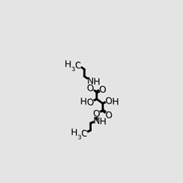 CCCNOC(=O)C(O)C(O)C(=O)ONCCC